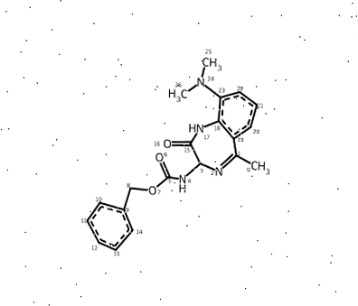 CC1=NC(NC(=O)OCc2ccccc2)C(=O)Nc2c1cccc2N(C)C